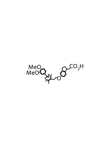 COc1ccc(-c2nc(CCOc3ccc4c(c3)CCC4CC(=O)O)c(C)s2)cc1OC